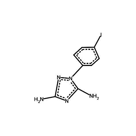 Nc1nc(N)n(-c2ccc(I)cc2)n1